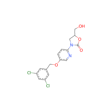 O=C1OC(CO)CN1c1ccc(OCc2cc(Cl)cc(Cl)c2)cn1